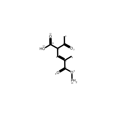 CC(=O)C(C=C(C)C(=O)OP)C(=O)O